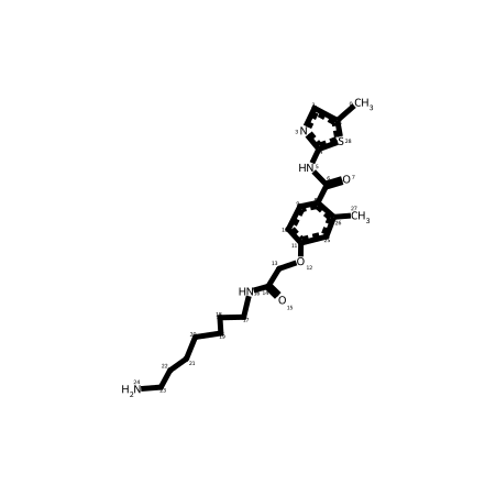 Cc1cnc(NC(=O)c2ccc(OCC(=O)NCCCCCCCN)cc2C)s1